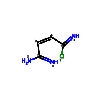 N=C(N)/C=C\C(=N)Cl